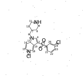 O=S(=O)(C1=CN(CC2CCNCC2)C2C=CN(Cl)C=C12)c1cccc(Cl)c1